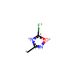 Cc1noc(F)n1